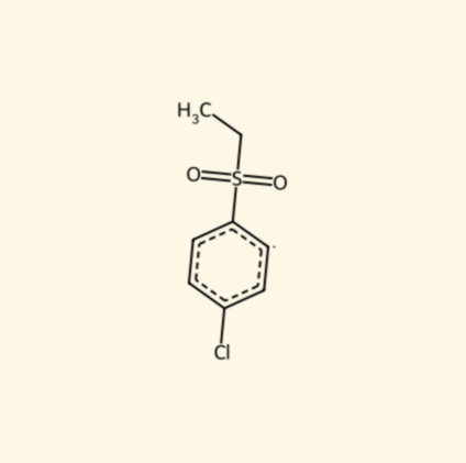 CCS(=O)(=O)c1[c]cc(Cl)cc1